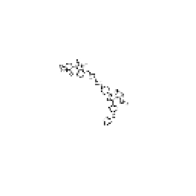 Cn1c(=O)n(C2CCC(=O)NC2=O)c2cccc(CN3CC(N4CC(N5CCC(n6nc(-c7ccc(Oc8ccccc8)cc7)c7c(N)ncnc76)CC5)C4)C3)c21